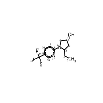 CCC1C[C@@H](O)CN1c1ccc(C(F)(F)F)cn1